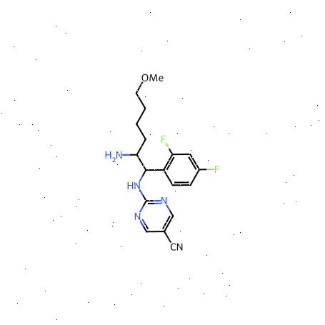 COCCCCC(N)C(Nc1ncc(C#N)cn1)c1ccc(F)cc1F